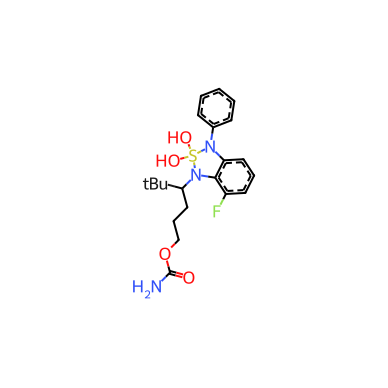 CC(C)(C)C(CCCOC(N)=O)N1c2c(F)cccc2N(c2ccccc2)S1(O)O